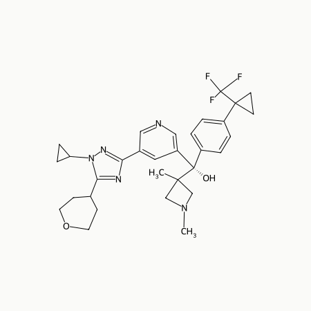 CN1CC(C)([C@](O)(c2ccc(C3(C(F)(F)F)CC3)cc2)c2cncc(-c3nc(C4CCOCC4)n(C4CC4)n3)c2)C1